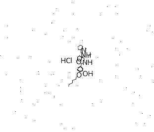 CCCCCCOc1ccc(C(=O)N[C@@H](CCC)C(=O)NCC2(N(C)C)CCCC2)cc1O.Cl